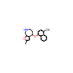 Cc1cc2c(o1)CNCCC2Oc1ccc(C#N)c2ccccc12